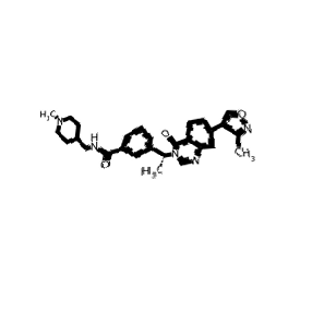 Cc1nocc1-c1ccc2c(=O)n([C@H](C)c3cccc(C(=O)NCC4CCN(C)CC4)c3)cnc2c1